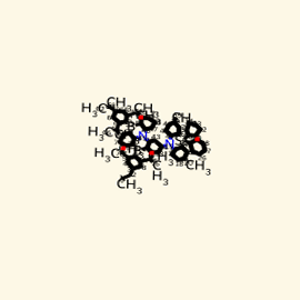 CCCc1cc(C(C)C)c(B2c3ccc(N4c5ccc(C)cc5[Si](c5ccccc5)(c5ccccc5)c5cc(C)ccc54)cc3N3c4ccccc4B(c4c(C(C)C)cc(C(C)C)cc4C(C)C)c4cccc2c43)c(C(C)C)c1